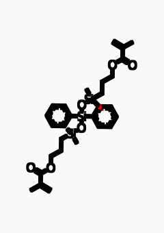 C=C(C)C(=O)OCCC[Si](C)(C)O[Si](O[Si](C)(C)CCCOC(=O)C(=C)C)(c1ccccc1)c1ccccc1